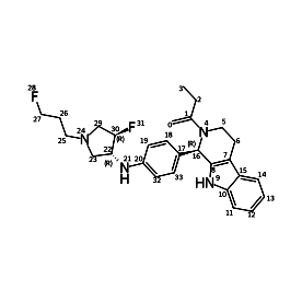 C=C(CC)N1CCc2c([nH]c3ccccc23)[C@H]1c1ccc(N[C@@H]2CN(CCCF)C[C@H]2F)cc1